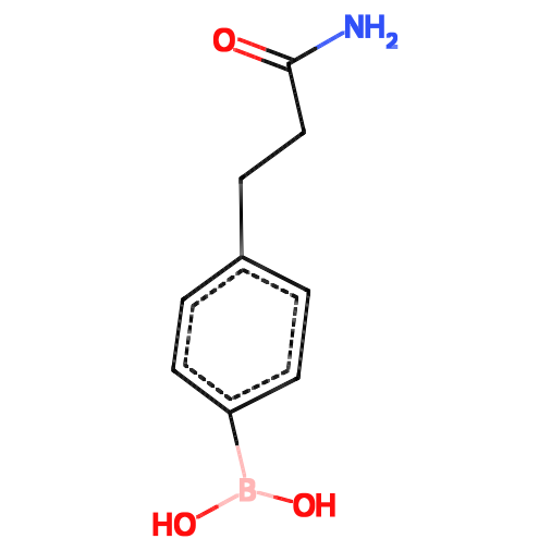 NC(=O)CCc1ccc(B(O)O)cc1